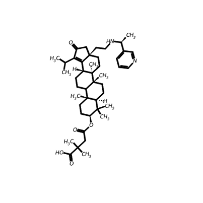 CC(C)C1=C2[C@H]3CCC4[C@@]5(C)CC[C@H](OC(=O)CC(C)(C)C(=O)O)C(C)(C)[C@@H]5CC[C@@]4(C)[C@]3(C)CC[C@@]2(CCN[C@@H](C)c2cccnc2)CC1=O